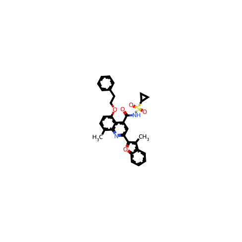 Cc1c(-c2cc(C(=O)NS(=O)(=O)C3CC3)c3c(OCCc4ccccc4)ccc(C)c3n2)oc2ccccc12